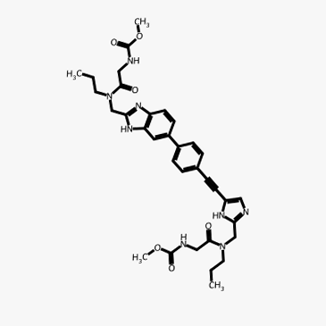 CCCN(Cc1ncc(C#Cc2ccc(-c3ccc4nc(CN(CCC)C(=O)CNC(=O)OC)[nH]c4c3)cc2)[nH]1)C(=O)CNC(=O)OC